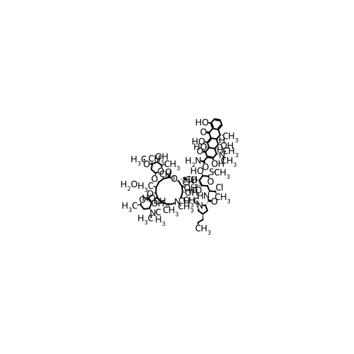 CCC[C@@H]1C[C@@H](C(=O)N[C@@H]([C@H]2O[C@H](SC)[C@H](O)[C@@H](O)[C@H]2O)[C@H](C)Cl)N(C)C1.CC[C@H]1OC(=O)[C@H](C)[C@@H](O[C@H]2C[C@@](C)(OC)[C@@H](O)[C@H](C)O2)[C@H](C)[C@@H](O[C@@H]2O[C@H](C)C[C@H](N(C)C)[C@H]2O)[C@](C)(O)C[C@@H](C)CN(C)[C@H](C)[C@@H](O)[C@]1(C)O.C[C@H]1c2cccc(O)c2C(=O)C2=C(O)[C@]3(O)C(=O)C(C(N)=O)=C(O)[C@@H](N(C)C)[C@@H]3[C@@H](O)[C@@H]21.O